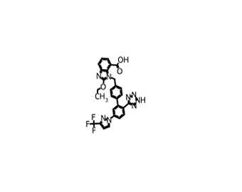 CCOc1nc2cccc(C(=O)O)c2n1Cc1ccc(-c2cc(-n3ccc(C(F)(F)F)n3)ccc2-c2nn[nH]n2)cc1